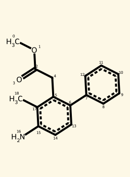 COC(=O)Cc1c(-c2ccccc2)ccc(N)c1C